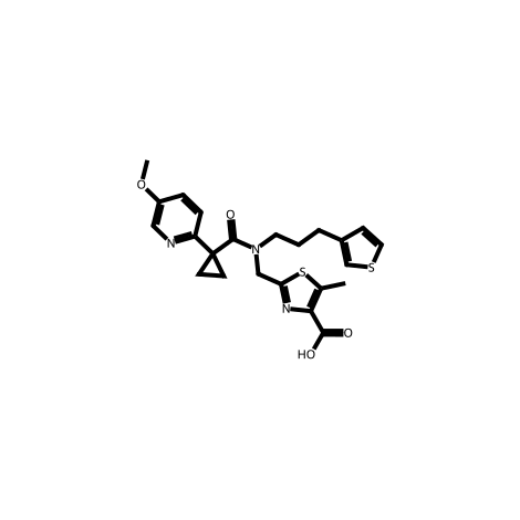 COc1ccc(C2(C(=O)N(CCCc3ccsc3)Cc3nc(C(=O)O)c(C)s3)CC2)nc1